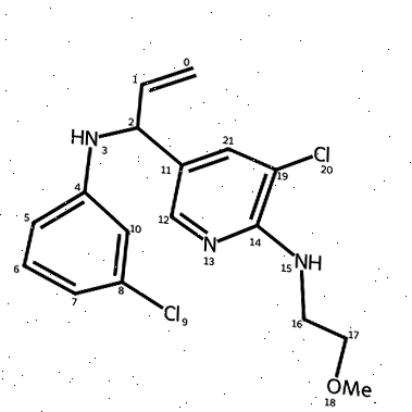 C=CC(Nc1cccc(Cl)c1)c1cnc(NCCOC)c(Cl)c1